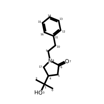 CC(C)(O)C1CC(=O)N(CCc2ccccc2)C1